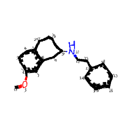 COc1ccc2c(c1)C[C@@H](NCCc1ccccc1)CC2